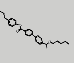 CCCCCOC(C)c1ccc(-c2ccc(C(=O)Oc3ccc(CCC)cc3)cc2)cc1